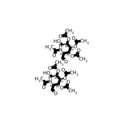 CC(=O)N[C@@H](C=O)[C@@H](OC(C)=O)[C@@H](OC(C)=O)[C@@H](CO)OC(C)=O.CC(=O)N[C@@H](C=O)[C@@H](OC(C)=O)[C@H](OC(C)=O)[C@@H](CO)OC(C)=O